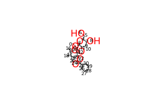 CO[C@@H]1OC(CO)[C@@H](O)[C@H](C)C1O[C@@H]1OC(C)[C@H](C)[C@H](C)C1OC(=O)c1ccccc1